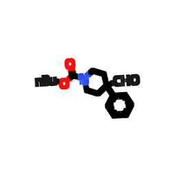 CCCCOC(=O)N1CCC(C=O)(c2ccccc2)CC1